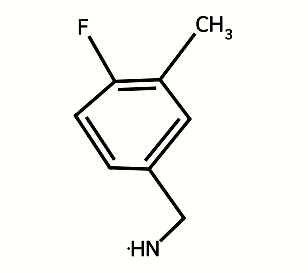 Cc1cc(C[NH])ccc1F